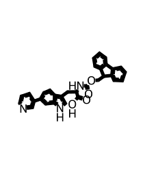 O=C(NC(Cc1c[nH]c2cc(-c3cccnc3)ccc12)C(=O)O)OCC1c2ccccc2-c2ccccc21